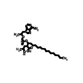 CCCCCCCCCCCCCCCC(O[PH](=O)COC(C)Cn1cnc2c(N)ncnc21)C(CC(C)O)C(=O)O